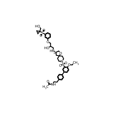 CCOc1ccc(-c2ccc(CCNC(C)=O)cc2)cc1S(=O)(=O)N1CCC2(CC1)C[C@@H](NCC(O)COc1cccc(S(=O)(=O)C3(CO)CC3)c1)CO2